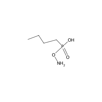 CCCCP(=O)(O)ON